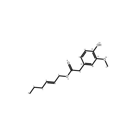 CCC/C=C/COC(=O)Cc1ccc(O)c(OC)c1